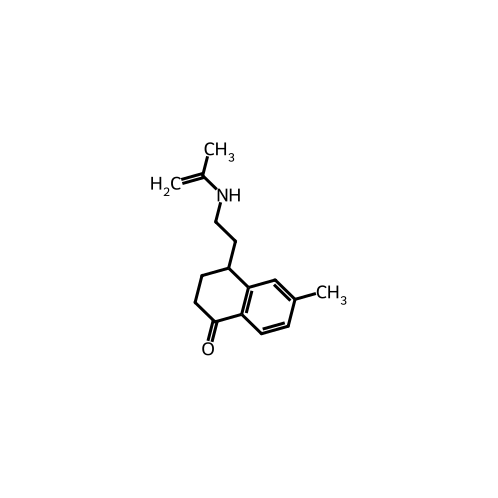 C=C(C)NCCC1CCC(=O)c2ccc(C)cc21